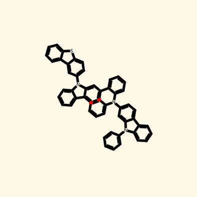 c1ccc(N(c2ccc3c4ccccc4n(-c4ccccc4)c3c2)c2ccccc2-c2ccc3c4ccccc4n(-c4ccc5sc6ccccc6c5c4)c3c2)cc1